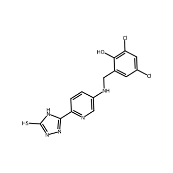 Oc1c(Cl)cc(Cl)cc1CNc1ccc(-c2nnc(S)[nH]2)nc1